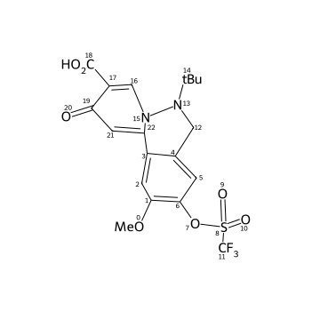 COc1cc2c(cc1OS(=O)(=O)C(F)(F)F)CN(C(C)(C)C)n1cc(C(=O)O)c(=O)cc1-2